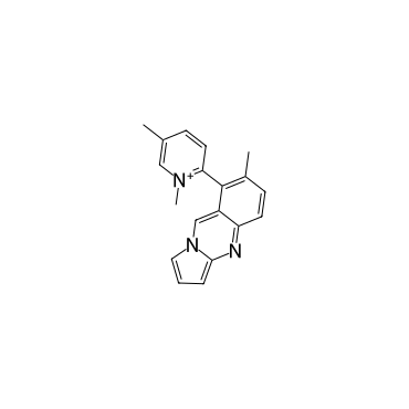 Cc1ccc(-c2c(C)ccc3nc4cccn4cc23)[n+](C)c1